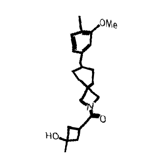 COc1cc(C2CCC3(CC2)CN(C(=O)C2CC(C)(O)C2)C3)ccc1C